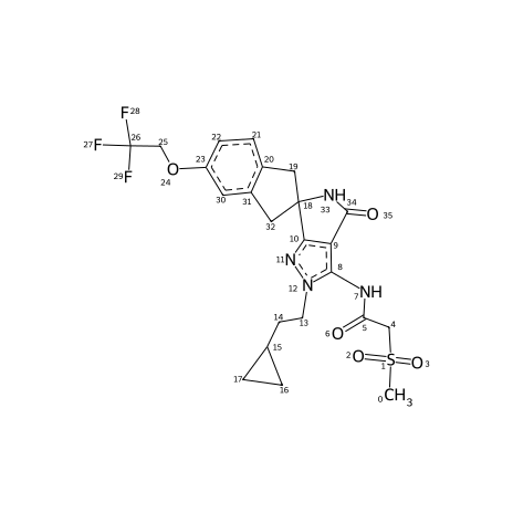 CS(=O)(=O)CC(=O)Nc1c2c(nn1CCC1CC1)C1(Cc3ccc(OCC(F)(F)F)cc3C1)NC2=O